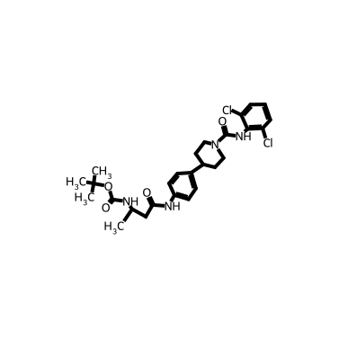 CC(CC(=O)Nc1ccc(C2CCN(C(=O)Nc3c(Cl)cccc3Cl)CC2)cc1)NC(=O)OC(C)(C)C